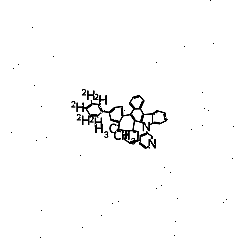 [2H]c1c([2H])c([2H])c(-c2ccc3c(c2)C(C)(C)c2ccccc2-c2c-3c3ccccc3c3c4ccccc4n(-c4cccnc4)c23)c([2H])c1[2H]